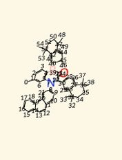 Cc1ccc2c(c1)N(c1ccc3ccc4ccccc4c3c1)c1c(oc3cc4c(cc13)C(C)(C)CCC4(C)C)B2C1C=C2C(=CC1C)C(C)(C)CCC2(C)C